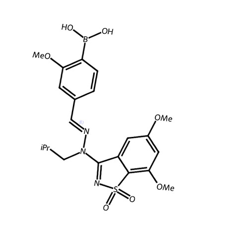 COc1cc(OC)c2c(c1)C(N(CC(C)C)/N=C/c1ccc(B(O)O)c(OC)c1)=NS2(=O)=O